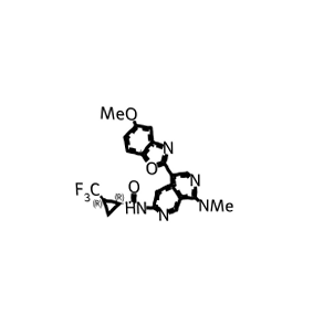 CNc1ncc(-c2nc3cc(OC)ccc3o2)c2cc(NC(=O)[C@@H]3C[C@H]3C(F)(F)F)ncc12